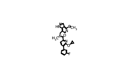 COc1ncc(CN(C)C(=O)c2ccc(-c3cccc(F)c3)c(OC3CC3)n2)c2[nH]ncc12